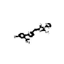 NC1S/C(=C\c2ccc(-c3ccc(Cl)cc3C(=O)O)o2)C(=O)N1c1nccs1